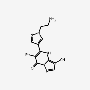 CC(C)c1c(-c2cnn(CCN)c2)[nH]c2c(C#N)cnn2c1=O